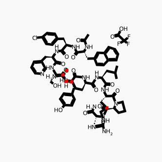 CC(=O)N[C@H](Cc1ccc2ccccc2c1)C(=O)N[C@H](Cc1ccc(Cl)cc1)C(=O)N[C@H](Cc1cccnc1)C(=O)N[C@@H](CO)C(=O)N[C@@H](Cc1ccc(O)cc1)C(=O)N[C@H](CCCNC(N)=O)C(=O)N[C@@H](CC(C)C)C(=O)N[C@@H](CCCNC(=N)N)C(=O)N1CCC[C@H]1C(=O)N[C@H](C)C(N)=O.O=C(O)C(F)(F)F